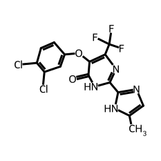 Cc1cnc(-c2nc(C(F)(F)F)c(Oc3ccc(Cl)c(Cl)c3)c(=O)[nH]2)[nH]1